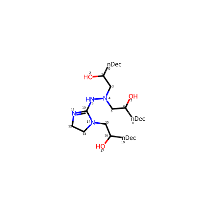 CCCCCCCCCCC(O)CN(CC(O)CCCCCCCCCC)NC1=NCCN1CC(O)CCCCCCCCCC